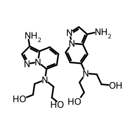 Nc1cnn2c(N(CCO)CCO)cccc12.Nc1cnn2ccc(N(CCO)CCO)cc12